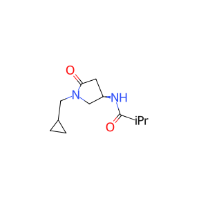 CC(C)C(=O)N[C@@H]1CC(=O)N(CC2CC2)C1